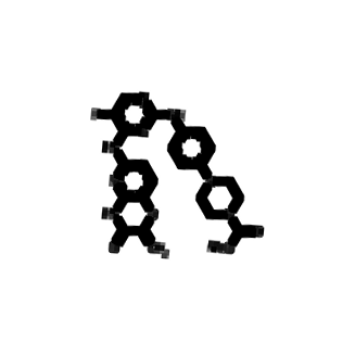 C=C1Oc2ccc(Nc3nc(Nc4ccc(N5CCN(C(=O)OC)CC5)cc4)ncc3F)nc2NC1=O